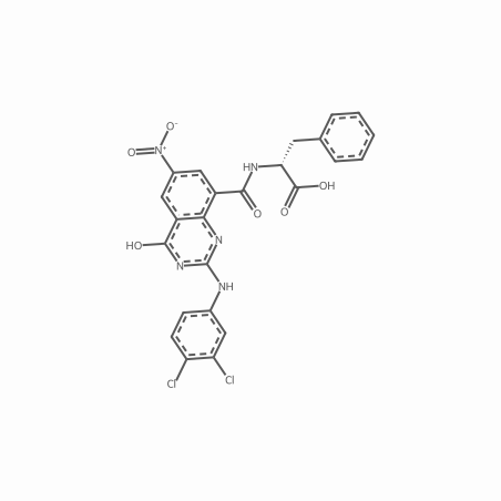 O=C(N[C@H](Cc1ccccc1)C(=O)O)c1cc([N+](=O)[O-])cc2c(O)nc(Nc3ccc(Cl)c(Cl)c3)nc12